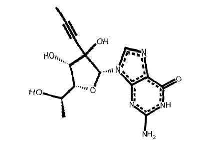 CC#CC1(O)[C@@H](O)[C@@H]([C@@H](C)O)O[C@H]1n1cnc2c(=O)[nH]c(N)nc21